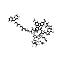 [C-]#[N+]CCOP(O[C@@H]1C[C@H](n2cc(C#CCNC(=O)CCCC(=O)OCC3c4ccccc4-c4ccccc43)c(=O)[nH]c2=O)O[C@@H]1COP(=O)(OCC[N+]#[C-])O[C@@H]1C[C@H](n2cnc3c(=O)[nH]c(NC(=O)C(C)C)nc32)O[C@@H]1COC(c1ccccc1)(c1ccc(OC)cc1)c1ccc(OC)cc1)N(C(C)C)C(C)C